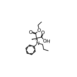 CCCN(c1ccccc1)[C@@](C)(C(=O)O)C(=O)OCC